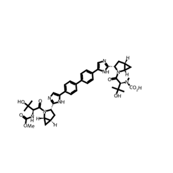 COC(=O)N[C@H](C(=O)N1[C@H](c2ncc(-c3ccc(-c4ccc(-c5cnc([C@@H]6C[C@@H]7C[C@@H]7N6C(=O)[C@@H](N(C)C(=O)O)C(C)(C)O)[nH]5)cc4)cc3)[nH]2)C[C@H]2C[C@@H]21)C(C)(C)O